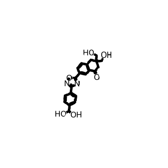 O=C1CC(CO)(CO)Cc2ccc(-c3nc(-c4ccc(C(O)O)cc4)no3)cc21